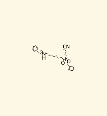 N#CCCCCN(OCc1ccccc1)C(=O)CCCCCCCNOCc1ccccc1